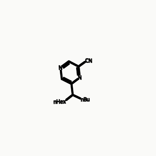 CCCCCCC(CCCC)c1cncc(C#N)n1